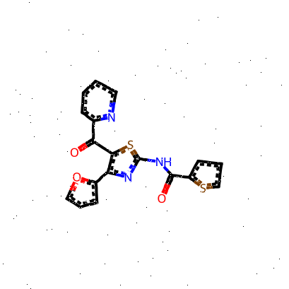 O=C(Nc1nc(-c2ccco2)c(C(=O)c2ccccn2)s1)c1cccs1